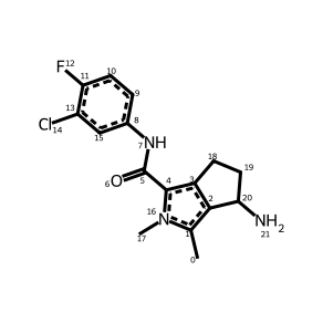 Cc1c2c(c(C(=O)Nc3ccc(F)c(Cl)c3)n1C)CCC2N